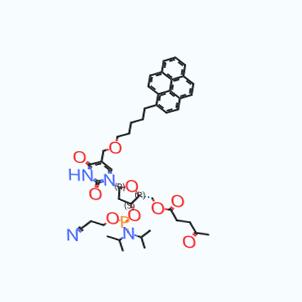 CC(=O)CCC(=O)OC[C@H]1O[C@@H](n2cc(COCCCCCc3ccc4ccc5cccc6ccc3c4c56)c(=O)[nH]c2=O)C[C@@H]1OP(OCCC#N)N(C(C)C)C(C)C